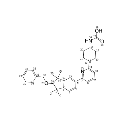 CC1(C)c2ccc(-c3cccc(N4CCC(NC(=O)O)CC4)n3)cc2C(C)(C)C1OCc1ccccc1